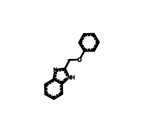 [CH](Oc1ccccc1)c1nc2ccccc2[nH]1